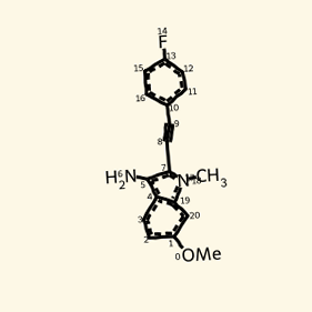 COc1ccc2c(N)c(C#Cc3ccc(F)cc3)n(C)c2c1